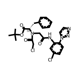 CC(C)(C)OC(=O)[C@H](Cc1ccccc1)N(CC(=O)Nc1cc(Cl)ccc1-n1ccnn1)C(=O)CCl